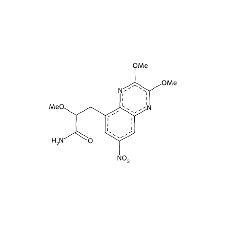 COc1nc2cc([N+](=O)[O-])cc(CC(OC)C(N)=O)c2nc1OC